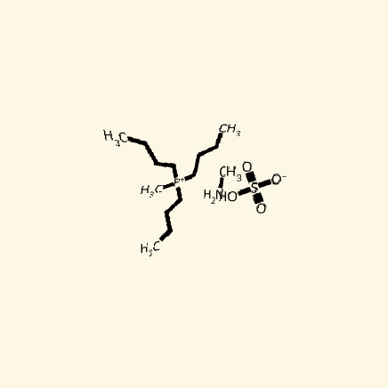 CCCC[P+](C)(CCCC)CCCC.CN.O=S(=O)([O-])O